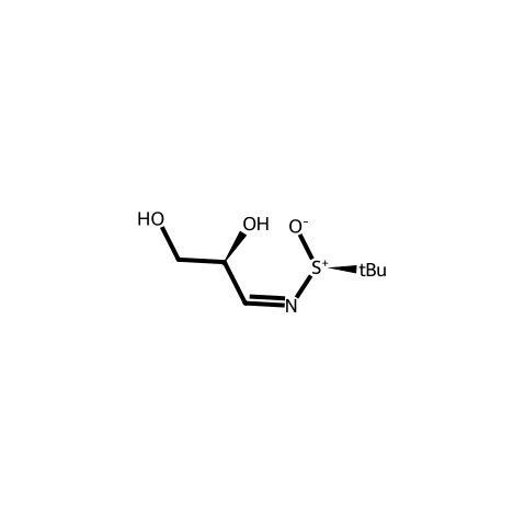 CC(C)(C)[S@+]([O-])/N=C\[C@H](O)CO